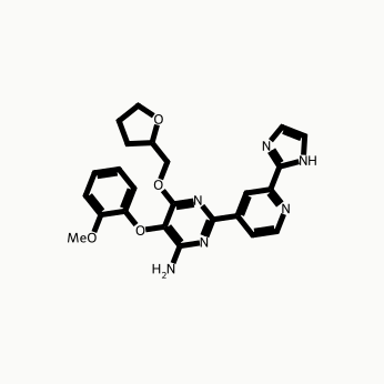 COc1ccccc1Oc1c(N)nc(-c2ccnc(-c3ncc[nH]3)c2)nc1OCC1CCCO1